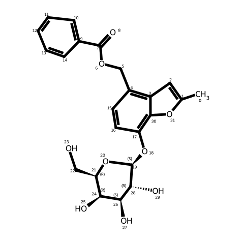 Cc1cc2c(COC(=O)c3ccccc3)ccc(O[C@@H]3O[C@H](CO)[C@H](O)[C@H](O)[C@H]3O)c2o1